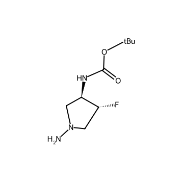 CC(C)(C)OC(=O)N[C@@H]1CN(N)C[C@H]1F